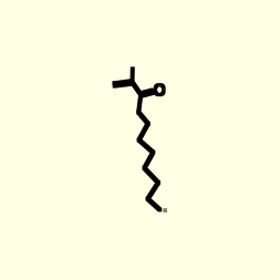 [CH2]CCCCCCCC(=O)C(=C)C